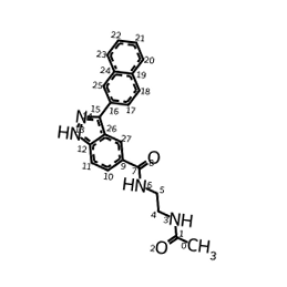 CC(=O)NCCNC(=O)c1ccc2[nH]nc(-c3ccc4ccccc4c3)c2c1